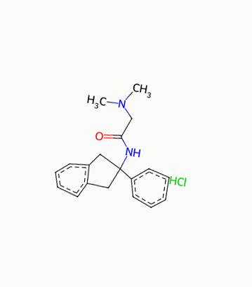 CN(C)CC(=O)NC1(c2ccccc2)Cc2ccccc2C1.Cl